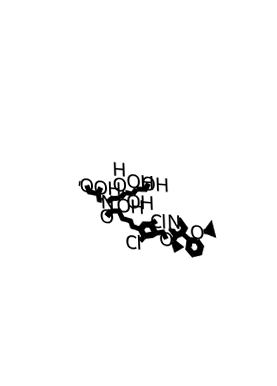 COCC(O)CN(CC(O)C(O)C(O)C(O)CO)C(=O)CCCCc1cc(Cl)c(COC2(c3cnccc3-c3ccccc3OC3CC3)CC2)cc1Cl